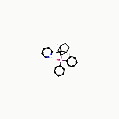 CC1(C)[C@@H]2CC[C@@]1(C)[C@@H](c1ccccn1)[C@@H]2P(=O)(c1ccccc1)c1ccccc1